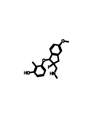 CNCC1(F)Cc2cc(OC)ccc2C1Oc1cccc(O)c1C